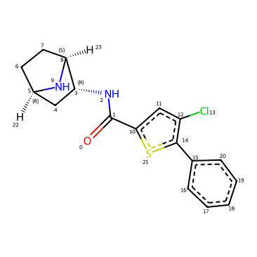 O=C(N[C@@H]1C[C@H]2CC[C@@H]1N2)c1cc(Cl)c(-c2ccccc2)s1